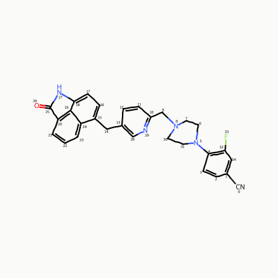 N#Cc1ccc(N2CCN(Cc3ccc(Cc4ccc5c6c(cccc46)C(=O)N5)cn3)CC2)c(F)c1